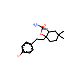 CC1(C)CCC(CCc2ccc(Br)cc2)(OC(N)=O)C(C(C)(C)C)C1